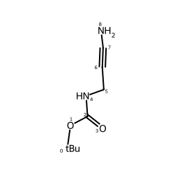 CC(C)(C)OC(=O)NCC#CN